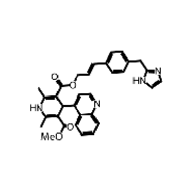 COC(=O)C1=C(C)NC(C)=C(C(=O)OCC=Cc2ccc(Cc3ncc[nH]3)cc2)C1c1ccnc2ccccc12